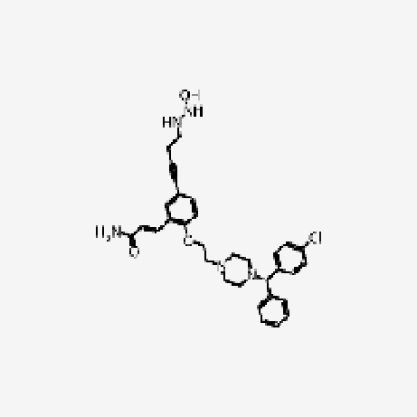 NC(=O)C=Cc1cc(C#CCCNNO)ccc1OCCN1CCN([C@H](c2ccccc2)c2ccc(Cl)cc2)CC1